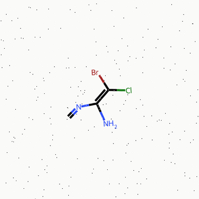 C=NC(N)=C(Cl)Br